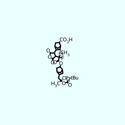 CCC(F)(C(=O)OC1CC2CC1CC2CC(C)(OC(=O)OC(C)(C)C)C(F)(F)F)C1C(=O)OC(=O)C1C1C2CC(C(=O)O)C(C2)C1C